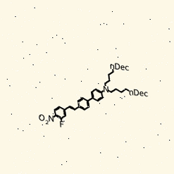 CCCCCCCCCCCCCCN(CCCCCCCCCCCCCC)c1ccc(-c2ccc(/C=C/c3ccc([N+](=O)[O-])c(F)c3)cc2)cc1